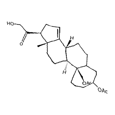 CC(=O)OC[C@]12CCC(OC(C)=O)CC1CC[C@H]1C3=CC[C@H](C(=O)CO)[C@@]3(C)CC[C@@H]12